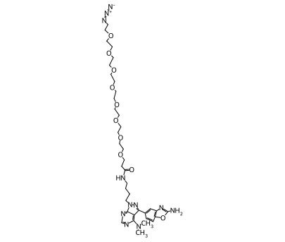 CN(C)c1ncnc2c1c(-c1ccc3oc(N)nc3c1)nn2CCCCNC(=O)CCOCCOCCOCCOCCOCCOCCOCCOCCN=[N+]=[N-]